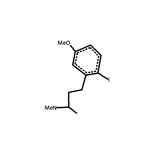 CNC(C)CCc1cc(OC)ccc1I